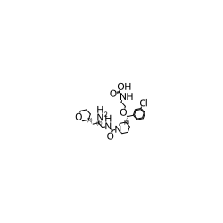 N[C@@H](CNC(=O)N1CCC[C@@H](C(OCCNC(=O)O)c2cccc(Cl)c2)C1)C[C@H]1CCCOC1